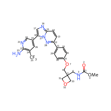 COC(=O)NCC1(COc2ccc(-c3ccc4ncc(-c5cnc(N)c(C(F)(F)F)c5)n4n3)cc2)COC1